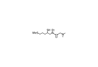 CCN(CC(S)CCCSC)C1OC1CN(C)C